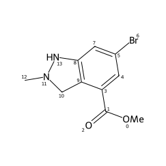 COC(=O)c1cc(Br)cc2c1CN(C)N2